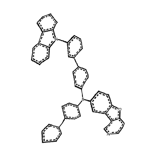 c1ccc(-c2ccc(N(c3ccc(-c4cccc(-n5c6ccccc6c6ccccc65)c4)cc3)c3ccc4oc5ccncc5c4c3)cc2)cc1